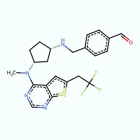 CN(c1ncnc2sc(CC(F)(F)F)cc12)[C@@H]1CC[C@H](NCc2ccc(C=O)cc2)C1